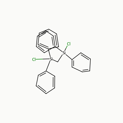 Cl[Si](C[Si](Cl)(c1ccccc1)c1ccccc1)(c1ccccc1)c1ccccc1